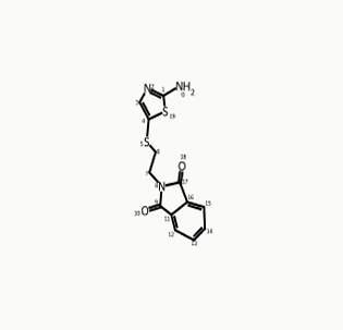 Nc1ncc(SCCN2C(=O)c3ccccc3C2=O)s1